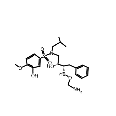 COc1ccc(S(=O)(=O)N(CC(C)C)C[C@@H](O)[C@@H](BOCN)Cc2ccccc2)cc1O